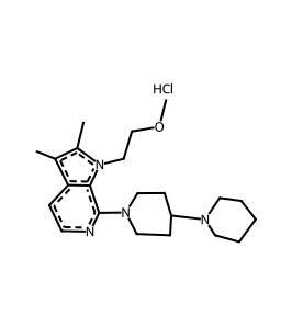 COCCn1c(C)c(C)c2ccnc(N3CCC(N4CCCCC4)CC3)c21.Cl